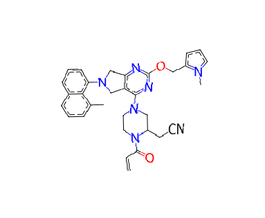 C=CC(=O)N1CCN(c2nc(OCc3cccn3C)nc3c2CN(c2cccc4cccc(C)c24)C3)CC1CC#N